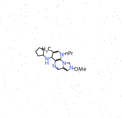 CCCN1C=C(C)C(NC2CCCC2)C2=C1N1CN(OC)C=C1C=N2